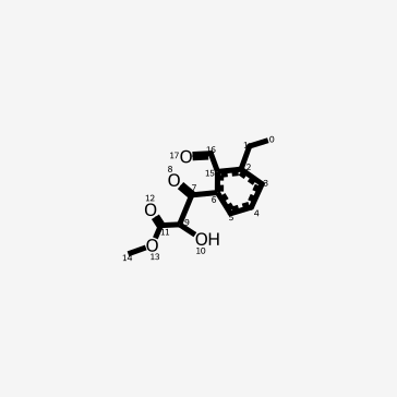 CCc1cccc(C(=O)C(O)C(=O)OC)c1[C]=O